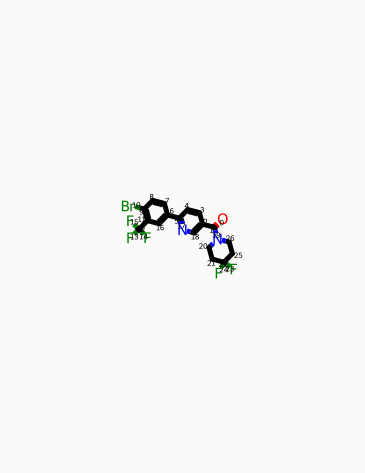 O=C(c1ccc(-c2ccc(Br)c(C(F)(F)F)c2)nc1)N1CCC(F)(F)CC1